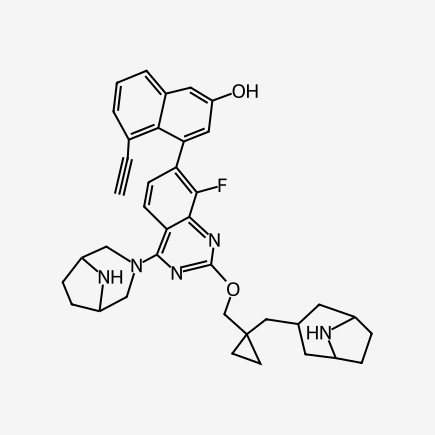 C#Cc1cccc2cc(O)cc(-c3ccc4c(N5CC6CCC(C5)N6)nc(OCC5(CC6CC7CCC(C6)N7)CC5)nc4c3F)c12